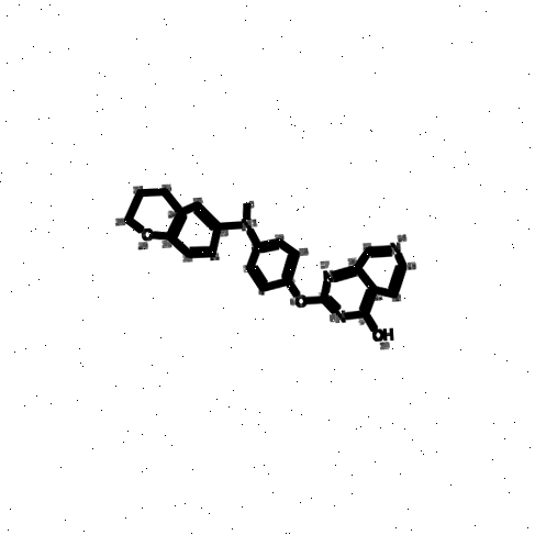 CN(c1ccc(Oc2nc(O)c3ccncc3n2)cc1)c1ccc2c(c1)CCCO2